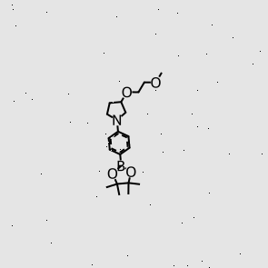 COCCOC1CCN(c2ccc(B3OC(C)(C)C(C)(C)O3)cc2)C1